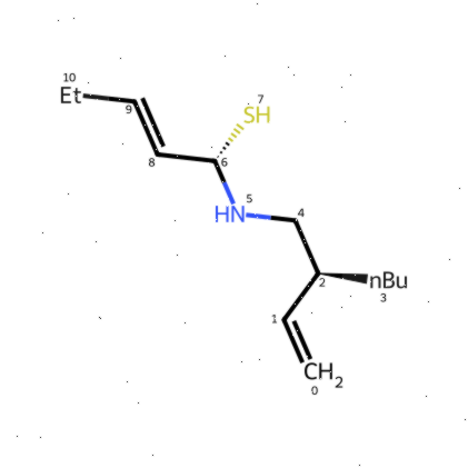 C=C[C@H](CCCC)CN[C@@H](S)/C=C/CC